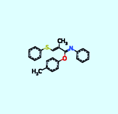 CC(=C\Sc1ccccc1)/C(=N/c1ccccc1)Oc1ccc(C)cc1